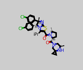 CC(C)C1=C(C(=O)N2[C@H](C)CC[C@@H]2C(=O)N2C[C@@H](C)NC3(CC3)C2)SC2=N[C@@](C)(c3ccc(Cl)cc3)[C@@H](c3ccc(Cl)cc3)N21